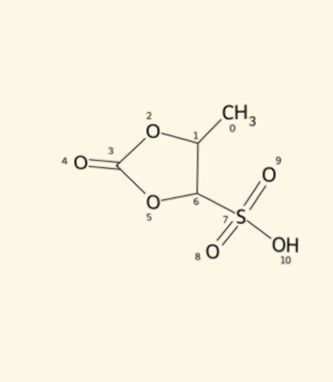 CC1OC(=O)OC1S(=O)(=O)O